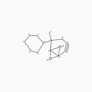 CC1(C2CCCCC2)CC#CC23OC21O3